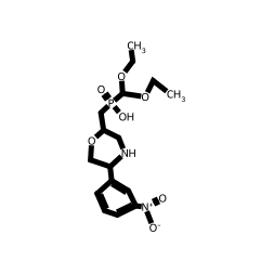 CCOC(OCC)P(=O)(O)CC1CNC(c2cccc([N+](=O)[O-])c2)CO1